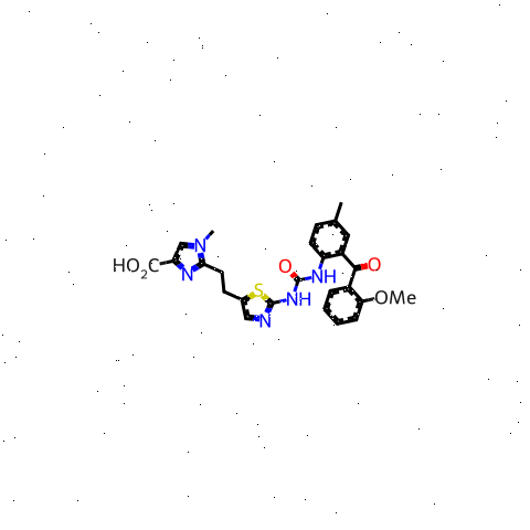 COc1ccccc1C(=O)c1cc(C)ccc1NC(=O)Nc1ncc(CCc2nc(C(=O)O)cn2C)s1